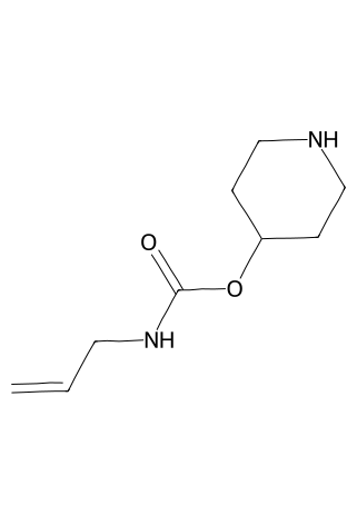 C=CCNC(=O)OC1CCNCC1